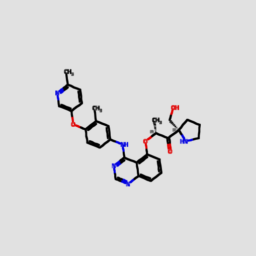 Cc1ccc(Oc2ccc(Nc3ncnc4cccc(O[C@H](C)C(=O)[C@@]5(CO)CCCN5)c34)cc2C)cn1